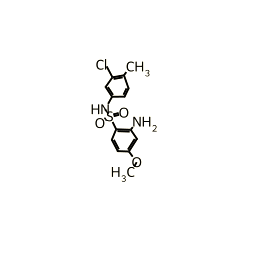 COc1ccc(S(=O)(=O)Nc2ccc(C)c(Cl)c2)c(N)c1